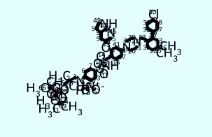 CC(C)(CNc1ccc(S(=O)(=O)NC(=O)c2ccc(N3CCN(CC4=C(c5ccc(Cl)cc5)CC(C)(C)CC4)CC3)cc2Oc2cnc3[nH]ccc3c2)cc1[N+](=O)[O-])COP(=O)(OC(C)(C)C)OC(C)(C)C